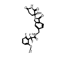 BC1(N2Cc3cc(CNC(=O)C(F)(F)c4c(F)cccc4OCC)ccc3C2=O)CCC(=O)NC1=O